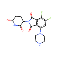 O=C1CCC(N2C(=O)c3c(N4CCNCC4)cc(F)c(F)c3C2=O)C(=O)N1